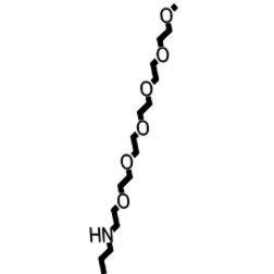 CCCNCCOCCOCCOCCOCCOCCOC